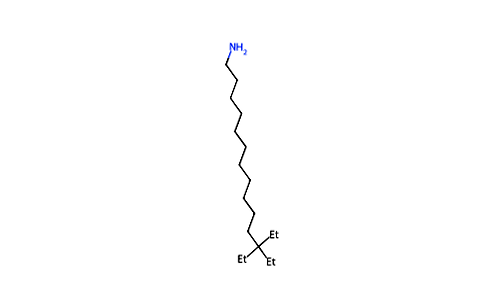 CCC(CC)(CC)CCCCCCCCCCCN